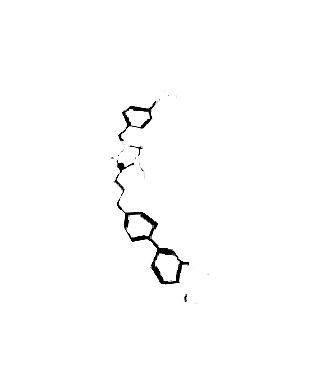 CCCOc1ccc(-c2ccc(CCCc3nn(Cc4ccc(C(C)(C)C)cc4)c(=O)n3CC)cc2)cc1C(=O)O